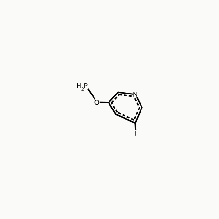 POc1cncc(I)c1